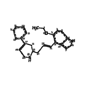 CCOc1ccc2[nH]ccc2c1C=CCC1CC(c2ccccc2)=CCN1